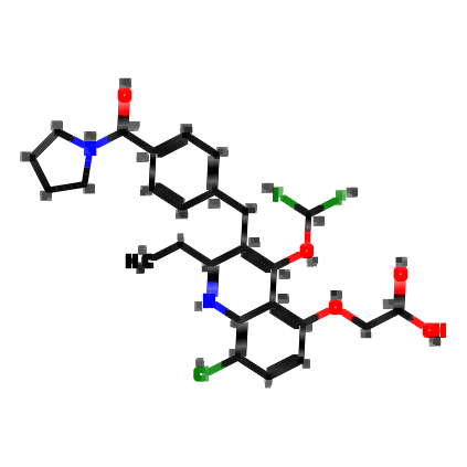 CCc1nc2c(Cl)ccc(OCC(=O)O)c2c(OC(F)F)c1Cc1ccc(C(=O)N2CCCC2)cc1